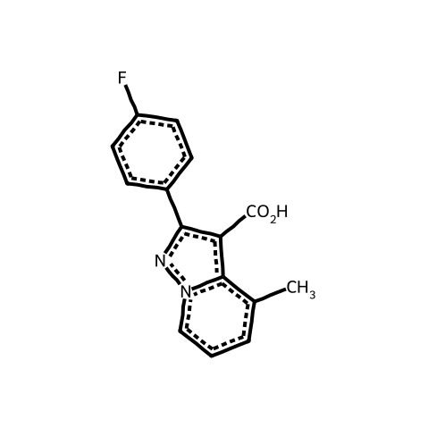 Cc1cccn2nc(-c3ccc(F)cc3)c(C(=O)O)c12